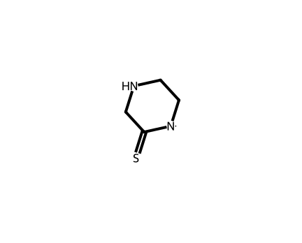 S=C1CNCC[N]1